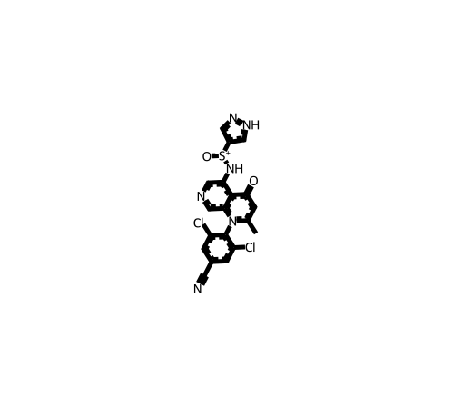 Cc1cc(=O)c2c(N[S+]([O-])c3cn[nH]c3)cncc2n1-c1c(Cl)cc(C#N)cc1Cl